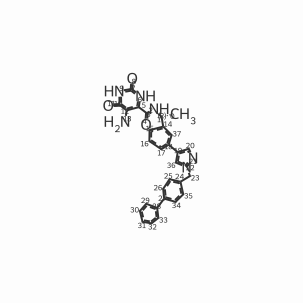 C[C@@H](NC(=O)c1[nH]c(=O)[nH]c(=O)c1N)c1cccc(-c2cnn(Cc3ccc(-c4ccccc4)cc3)c2)c1